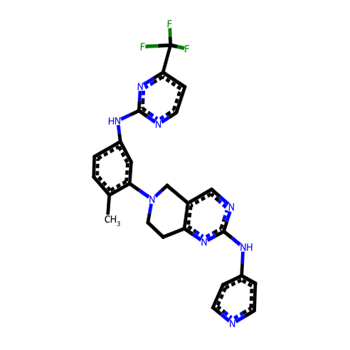 Cc1ccc(Nc2nccc(C(F)(F)F)n2)cc1N1CCc2nc(Nc3ccncc3)ncc2C1